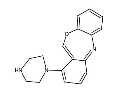 C1=c2c(N3CCNCC3)cccc2=Nc2ccccc2O1